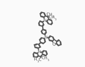 CC1(C)c2ccccc2N(c2cccc(-c3ccc(N(c4ccc(-c5cccc(N6c7ccccc7C(C)(C)c7ccccc76)c5)cc4)c4ccc5c(c4)oc4ccccc45)cc3)c2)c2ccccc21